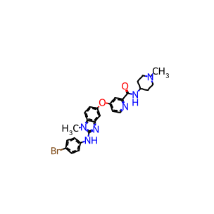 CN1CCC(NC(=O)c2cc(Oc3ccc4c(c3)nc(Nc3ccc(Br)cc3)n4C)ccn2)CC1